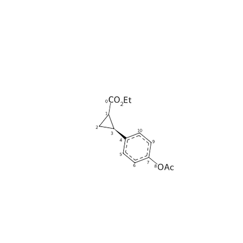 CCOC(=O)C1C[C@@H]1c1ccc(OC(C)=O)cc1